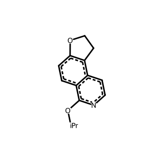 CC(C)Oc1nccc2c3c(ccc12)OCC3